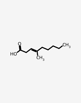 CCCCC/C(C)=C/CC(=O)O